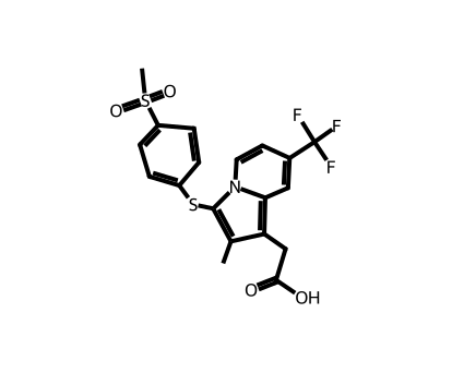 Cc1c(CC(=O)O)c2cc(C(F)(F)F)ccn2c1Sc1ccc(S(C)(=O)=O)cc1